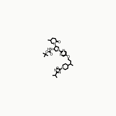 CC1CCC(=O)N([C@H]2CN(c3ncc(OCCC(C)C4CCN(c5nc(C(C)C)no5)CC4)cn3)C[C@@H]2NC(=O)OC(C)(C)C)C1